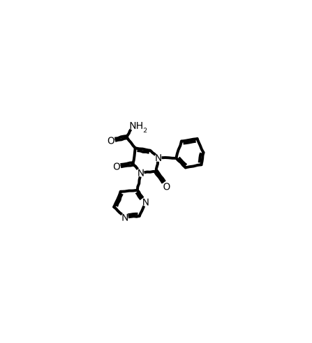 NC(=O)c1cn(-c2ccccc2)c(=O)n(-c2ccncn2)c1=O